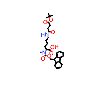 CN(C(=O)OCC1c2ccccc2-c2ccccc21)C(CCCCNC(=O)CCC(=O)OC(C)(C)C)C(=O)O